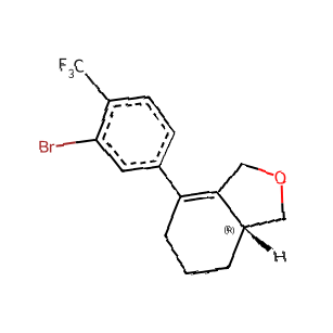 FC(F)(F)c1ccc(C2=C3COC[C@@H]3CCC2)cc1Br